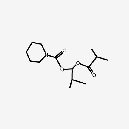 CC(C)C(=O)OC(OC(=O)N1CCCCC1)C(C)C